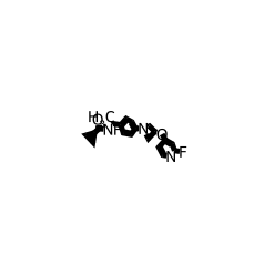 C[C@H](NC(=O)C1CC1)c1ccc(N2CC(Oc3ccnc(F)c3)C2)cc1